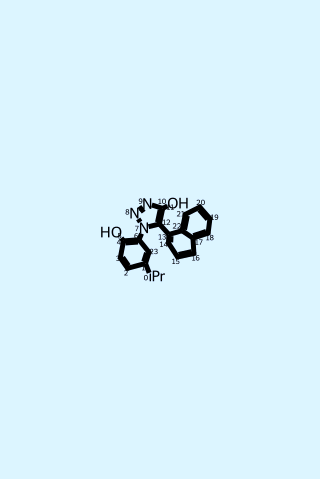 CC(C)c1ccc(O)c(-n2nnc(O)c2-c2cccc3ccccc23)c1